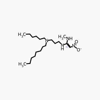 CCCCCCCCN(CCCCCC)CCCN/C(=C/[N+](=O)[O-])NC